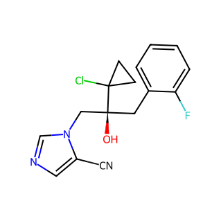 N#Cc1cncn1C[C@@](O)(Cc1ccccc1F)C1(Cl)CC1